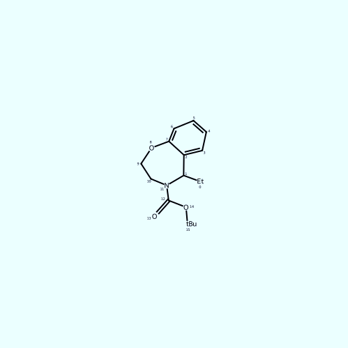 CCC1c2ccccc2OCCN1C(=O)OC(C)(C)C